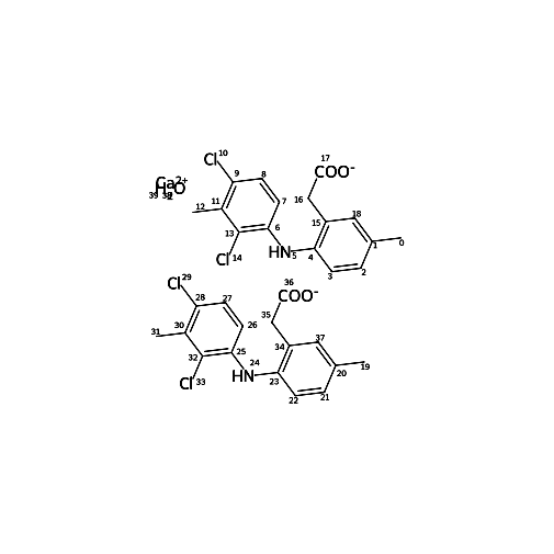 Cc1ccc(Nc2ccc(Cl)c(C)c2Cl)c(CC(=O)[O-])c1.Cc1ccc(Nc2ccc(Cl)c(C)c2Cl)c(CC(=O)[O-])c1.O.[Ca+2]